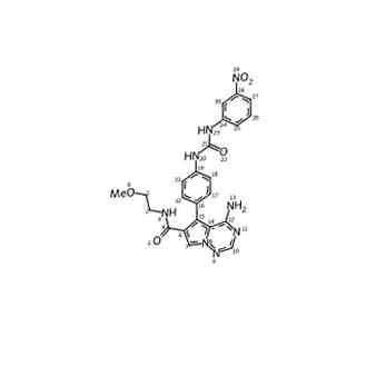 COCCNC(=O)c1cn2ncnc(N)c2c1-c1ccc(NC(=O)Nc2cccc([N+](=O)[O-])c2)cc1